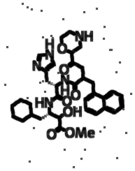 COC(=O)C(O)[C@H](CC1CCCCC1)NC(=O)[C@H](Cc1c[nH]cn1)NC(=O)C(CC(=O)C1CNCCO1)Cc1cccc2ccccc12